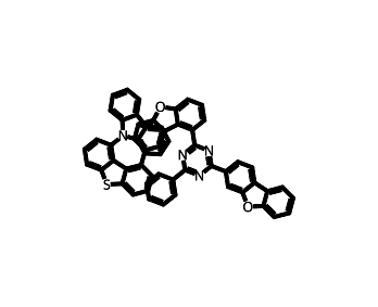 c1ccc(-c2nc(-c3ccc4c(c3)oc3ccccc34)nc(-c3cccc4oc5ccc(-c6cccc7sc8cccc(-n9c%10ccccc%10c%10ccccc%109)c8c67)cc5c34)n2)cc1